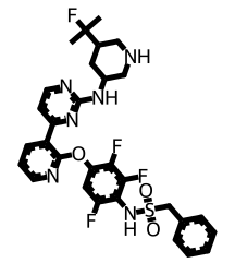 CC(C)(F)C1CNCC(Nc2nccc(-c3cccnc3Oc3cc(F)c(NS(=O)(=O)Cc4ccccc4)c(F)c3F)n2)C1